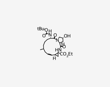 CCOC(=O)[C@@]12C[C@H]1/C=C\CC(C)CCC[C@H](NC(=O)OC(C)(C)C)C(=O)N1C[C@H](O)C[C@H]1C(=O)N2